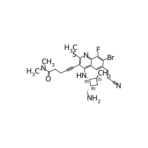 CSc1nc2c(F)c(Br)c(CCC#N)cc2c(N[C@H]2[C@@H](CN)C[C@@H]2C)c1C#CCCC(=O)N(C)C